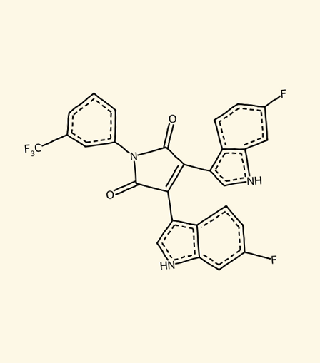 O=C1C(c2c[nH]c3cc(F)ccc23)=C(c2c[nH]c3cc(F)ccc23)C(=O)N1c1cccc(C(F)(F)F)c1